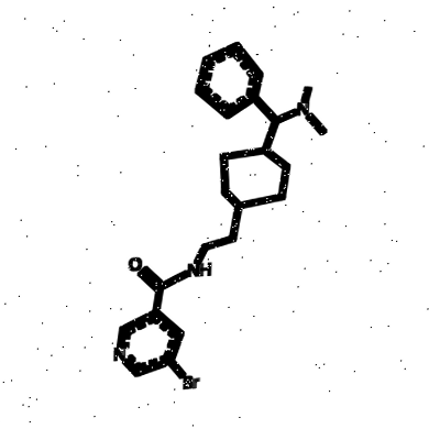 CN(C)C(c1ccccc1)C1CCC(CCNC(=O)c2cncc(Br)c2)CC1